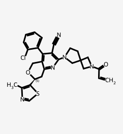 C=CC(=O)N1CC2(CCN(c3nc4c(c(-c5ccccc5Cl)c3C#N)CO[C@H](c3scnc3C)C4)C2)C1